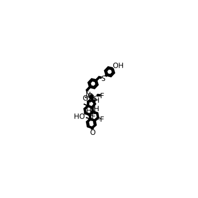 C[C@]12C=CC(=O)C=C1[C@@H](F)C[C@H]1[C@@H]3C[C@H]4CN(Cc5ccc(CSc6ccc(O)cc6)cc5)O[C@@]4(C(=O)SCF)[C@@]3(C)C[C@H](O)[C@@]12F